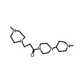 CN1CCC(N2CCN(C(=O)CCN3CCN(C)CC3)CC2)CC1